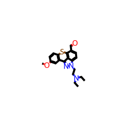 CCN(CC)CCn1nc2c3c(c(C=O)ccc31)Sc1ccc(OC)cc1-2